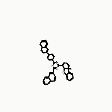 CC12C=CC=C(c3nc(-c4ccc(-c5ccc6ccccc6c5)cc4)nc(-c4ccc5ccccc5c4)n3)C1Oc1ccccc12